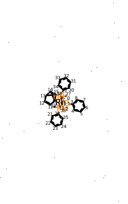 C[PH](C)(c1ccccc1)[Rh]([C]12C=CC(C=C1)C2)([PH](C)(C)c1ccccc1)[PH](C)(C)c1ccccc1